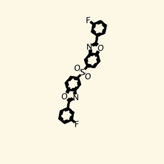 O=S(=O)(c1ccc2oc(-c3cccc(F)c3)nc2c1)c1ccc2oc(-c3cccc(F)c3)nc2c1